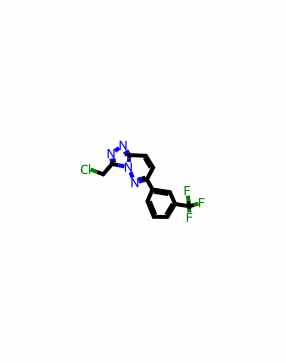 FC(F)(F)c1cccc(-c2ccc3nnc(CCl)n3n2)c1